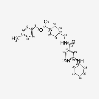 Cc1ccc(COC(=O)N2CCC(CNC(=O)c3ccnc(NC4CCCCC4)c3)CC2)cc1